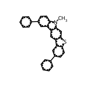 Cn1c2ccc(-c3ccccc3)cc2c2cc3c(cc21)sc1ccc(-c2ccccc2)cc13